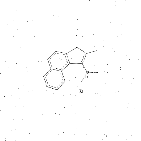 CC1=C([SiH](C)C)c2c(ccc3ccccc23)C1.[Zr]